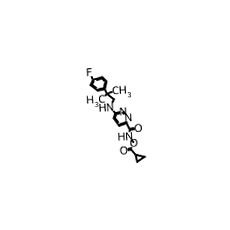 CC(C)(CNc1ccc(C(=O)NOC(=O)C2CC2)nn1)c1ccc(F)cc1